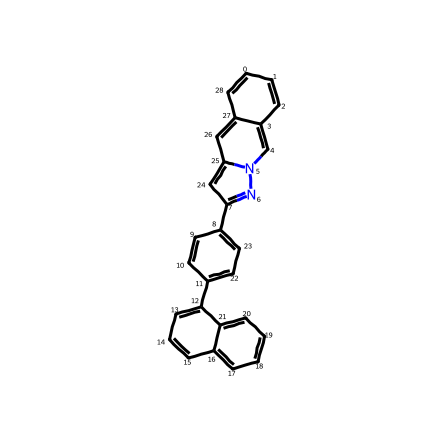 c1ccc2cn3nc(-c4ccc(-c5cccc6ccccc56)cc4)cc3cc2c1